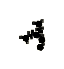 S=C(Nc1cc(Cl)cc(Cl)c1)Nc1ccc(Nc2ccc(Oc3ccccc3)cc2)c(NC(=S)Nc2cc(Cl)cc(Cl)c2)c1